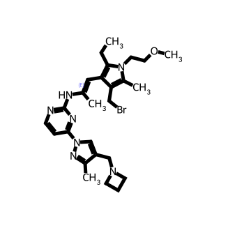 CCc1c(/C=C(\C)Nc2nccc(-n3cc(CN4CCC4)c(C)n3)n2)c(CBr)c(C)n1CCOC